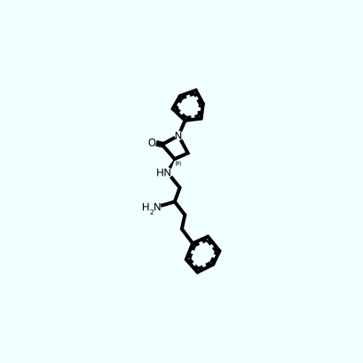 NC(CCc1ccccc1)CN[C@@H]1CN(c2ccccc2)C1=O